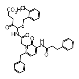 O=C(O)CCC(=O)C(NC(=O)Cn1c(Cc2ccccc2)ccc(NC(=O)CCc2ccccc2)c1=O)SCc1ccccc1Cl